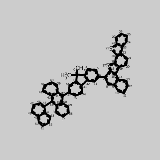 CC1(C)c2ccc(-c3cc4ccccc4c4c3sc3c4ccc4c5ccccc5sc43)cc2-c2ccc(-c3c4ccccc4c(-c4cccc5ccccc45)c4ccccc34)cc21